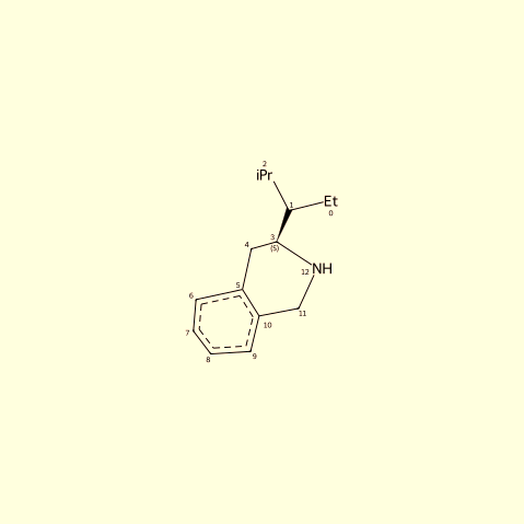 CCC(C(C)C)[C@@H]1Cc2ccccc2CN1